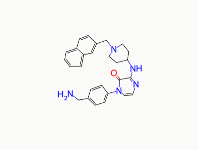 NCc1ccc(-n2ccnc(NC3CCN(Cc4ccc5ccccc5c4)CC3)c2=O)cc1